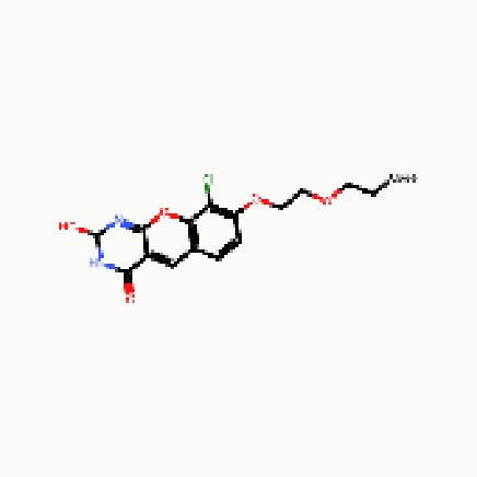 COCCOCCOc1ccc2c(c1Cl)OC1=NC(O)NC(=O)C1=C2